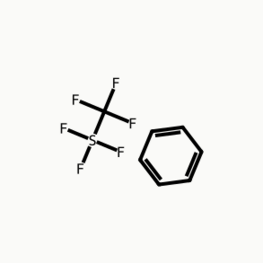 FC(F)(F)S(F)(F)F.c1ccccc1